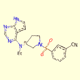 CCN(c1ncnc2[nH]ccc12)[C@@H]1CCN(S(=O)(=O)c2cccc(C#N)c2)C1